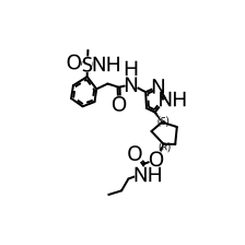 CCCNC(=O)O[C@@H]1CC[C@H](c2cc(NC(=O)Cc3ccccc3S(C)(=N)=O)n[nH]2)C1